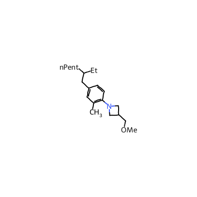 CCCCCC(CC)Cc1ccc(N2CC(COC)C2)c(C)c1